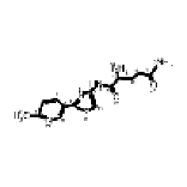 Cc1ccc(-c2nc(NC(=O)[C@@H](N)CCC(N)=O)cs2)cn1